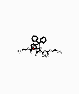 C=CCOC(=O)OC(C)[C@H]1C(=O)N(C(O)C(=O)OCC=C)[C@@H]1SC(c1ccccc1)(c1ccccc1)c1ccccc1